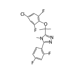 Cn1c(-c2ccc(F)cc2F)nnc1C(C)(C)Oc1c(F)cc(Cl)cc1F